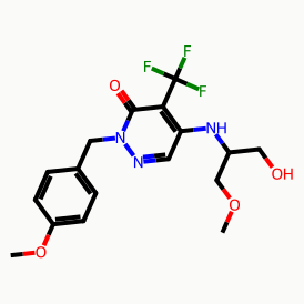 COCC(CO)Nc1cnn(Cc2ccc(OC)cc2)c(=O)c1C(F)(F)F